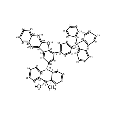 C[Si]1(C)c2ccccc2N(c2cc(-c3ccc([Si](c4ccccc4)(c4ccccc4)c4ccccc4)cc3)c3oc4nc5ccccc5nc4c3c2)c2ccccc21